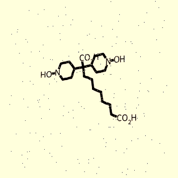 O=C(O)CCCCCCCC(C(=O)O)(C1CCN(O)CC1)C1CCN(O)CC1